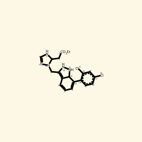 CCOC(=O)CC1NC=NN1CC1=C2C=CC=C(c3ccc(Cl)cc3Cl)C2NN1